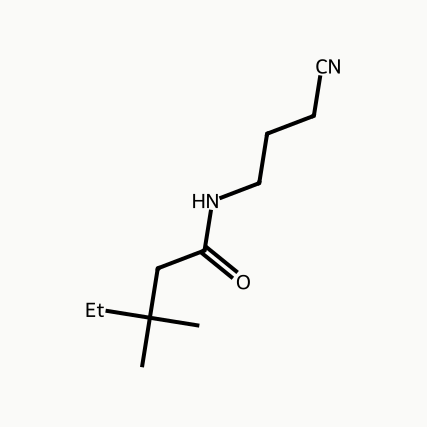 CCC(C)(C)CC(=O)NCCCC#N